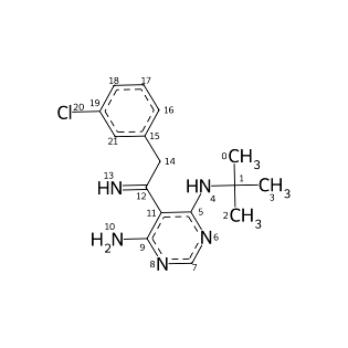 CC(C)(C)Nc1ncnc(N)c1C(=N)Cc1cccc(Cl)c1